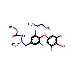 CC(C)(C)OC(=O)N[C@H](Cc1cc(I)c(Oc2cc(I)c(O)c(I)c2)c(I)c1)C(=O)O.NCCN